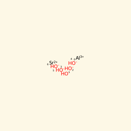 [Al+3].[OH-].[OH-].[OH-].[OH-].[OH-].[Sr+2]